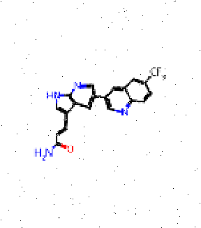 NC(=O)/C=C/c1c[nH]c2ncc(-c3cnc4ccc(C(F)(F)F)cc4c3)cc12